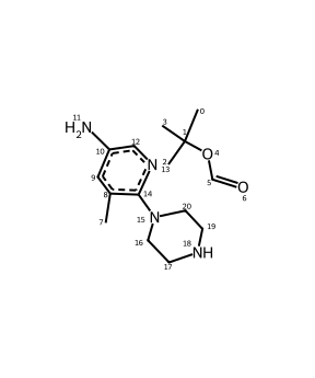 CC(C)(C)OC=O.Cc1cc(N)cnc1N1CCNCC1